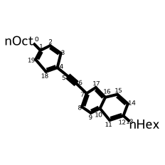 CCCCCCCCc1ccc(C#Cc2ccc3cc(CCCCCC)ccc3c2)cc1